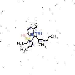 C=C/C=C\C=C(/C=C)c1[nH]c(C(/C=C\C(=C)BS)=C/C)nc1C(/C=C\C=C)=C/C=C